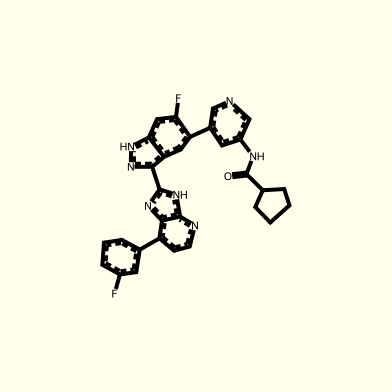 O=C(Nc1cncc(-c2cc3c(-c4nc5c(-c6cccc(F)c6)ccnc5[nH]4)n[nH]c3cc2F)c1)C1CCCC1